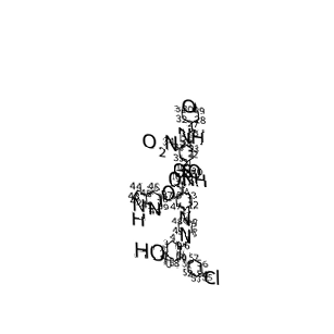 CC1(O)CC[C@@H](CN2CCN(c3ccc(C(=O)NS(=O)(=O)c4ccc(NCC5CCOCC5)c([N+](=O)[O-])c4)c(Oc4cnc5[nH]ccc5c4)c3)CC2)[C@H](c2ccc(Cl)cc2)C1